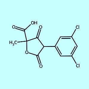 CC1(C(=O)O)OC(=O)C(c2cc(Cl)cc(Cl)c2)C1=O